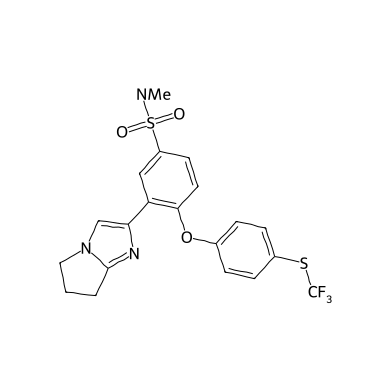 CNS(=O)(=O)c1ccc(Oc2ccc(SC(F)(F)F)cc2)c(-c2cn3c(n2)CCC3)c1